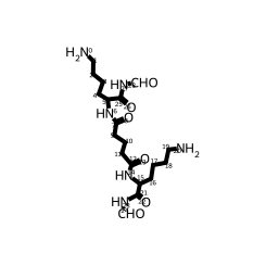 NCCCCC(NC(=O)CCCC(=O)NC(CCCCN)C(=O)NC=O)C(=O)NC=O